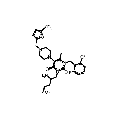 CSCCC(N)Cn1c(=O)c(N2CCN(Cc3ccc(C(F)(F)F)o3)CC2)c(C)n(Cc2c(F)cccc2C(F)(F)F)c1=O